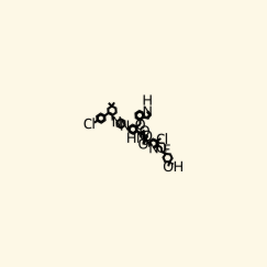 CC1(C)CCC(CN2CCN(c3ccc(C(=O)NS(=O)(=O)c4cnc(OC[C@]5(F)CC[C@@](C)(O)CC5)c(Cl)c4)c(Oc4cccc5[nH]ccc45)c3)CC2)=C(c2ccc(Cl)cc2)C1